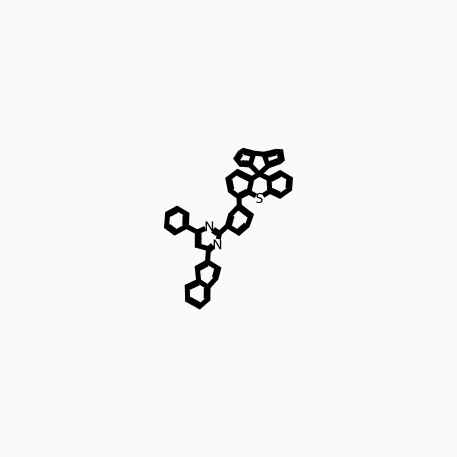 c1ccc(-c2cc(-c3ccc4ccccc4c3)nc(-c3cccc(-c4cccc5c4Sc4ccccc4C54c5ccccc5-c5ccccc54)c3)n2)cc1